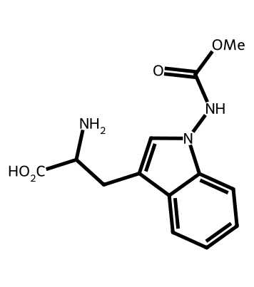 COC(=O)Nn1cc(CC(N)C(=O)O)c2ccccc21